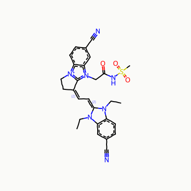 CCN1/C(=C/C=C2/CC[n+]3c2n(CC(=O)NS(C)(=O)=O)c2cc(C#N)ccc23)N(CC)c2cc(C#N)ccc21